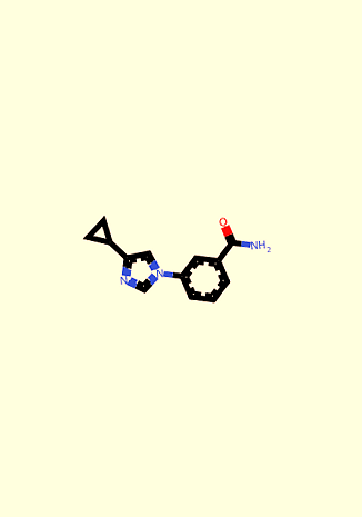 NC(=O)c1cccc(-n2cnc(C3CC3)c2)c1